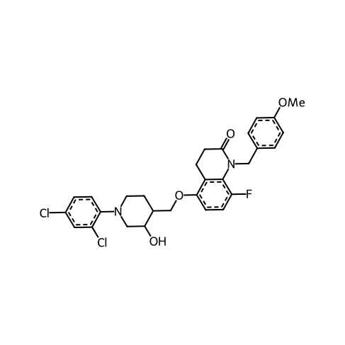 COc1ccc(CN2C(=O)CCc3c(OCC4CCN(c5ccc(Cl)cc5Cl)CC4O)ccc(F)c32)cc1